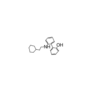 Oc1ccccc1-c1ccccc1NCCC1CCCCC1